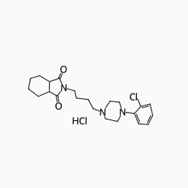 Cl.O=C1C2CCCCC2C(=O)N1CCCCN1CCN(c2ccccc2Cl)CC1